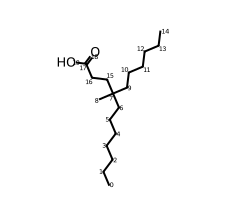 CCCCCCCC(C)(CCCCCC)CCC(=O)O